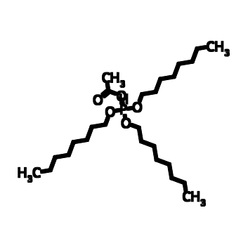 CCCCCCCCO[PH](OCCCCCCCC)(OCCCCCCCC)OC(C)=O